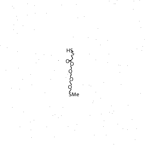 CSCCOCCOCCOCCOC(=O)CCSS